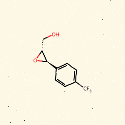 OC[C@H]1O[C@@H]1c1ccc(C(F)(F)F)cc1